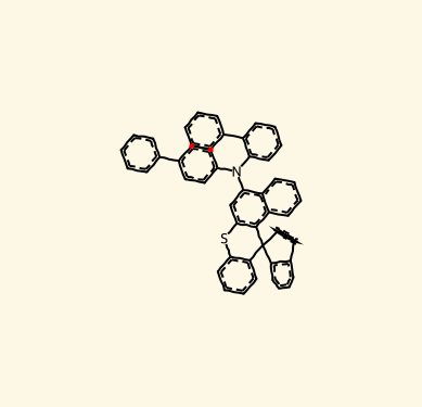 c1ccc(-c2ccc(N(c3ccccc3-c3ccccc3)c3cc4c(c5ccccc35)C3(c5ccccc5S4)c4ccccc4-c4ccccc43)cc2)cc1